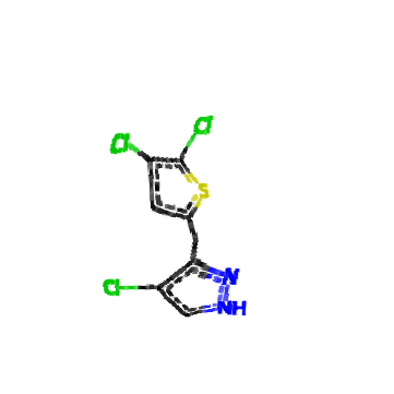 Clc1c[nH]nc1-c1cc(Cl)c(Cl)s1